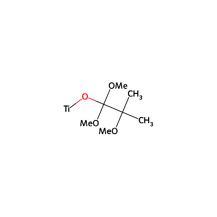 COC(C)(C)C(OC)(OC)[O][Ti]